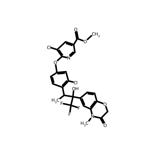 COC(=O)c1cnc(Oc2ccc(C(C)C(O)(c3ccc4c(c3)N(C)C(=O)CO4)C(F)(F)F)c(Cl)c2)c(Cl)c1